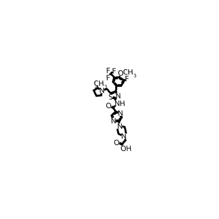 COc1c(F)cc(-c2nc(NC(=O)c3cnc(N4CCN(CC(=O)O)CC4)cn3)sc2CN2CCC[C@H]2C)cc1C(F)(F)F